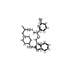 CC(N)CN1CCC(Nc2nc3ccccc3n2COC(C)c2cccc(Br)n2)CC1